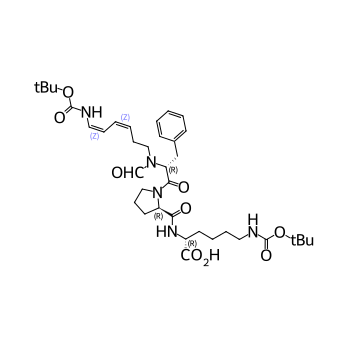 CC(C)(C)OC(=O)N/C=C\C=C/CCN(C=O)[C@H](Cc1ccccc1)C(=O)N1CCC[C@@H]1C(=O)N[C@H](CCCCNC(=O)OC(C)(C)C)C(=O)O